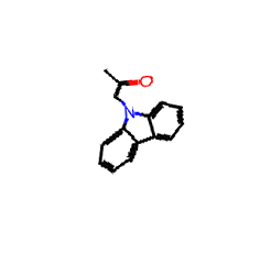 CC(=O)Cn1c2ccccc2c2ccccc21